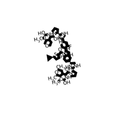 COC(O)NC(C1CCOCC1)[C@H](O)N1CCC[C@H]1C1NC[C@@H]([C@@H]2C=C(F)[C@H]3C(C2)OC(C2=CC[C@H](C4CC4)S2)N2[C@H]4CC=C([C@H]5CNC([C@@H]6CCCN6[C@H](O)C(N[C@H](O)OC)C6C[C@@H](C)O[C@@H](C)C6)N5)C[C@H]4C[C@@H]32)N1